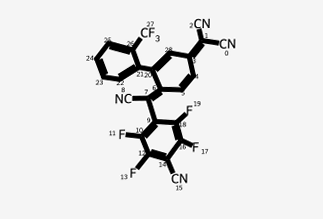 N#CC(C#N)=c1cc/c(=C(/C#N)c2c(F)c(F)c(C#N)c(F)c2F)c(-c2ccccc2C(F)(F)F)c1